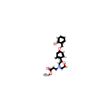 Cc1cc(OCc2ccccc2Br)ccc1C1CN(CCC(=O)OC(C)(C)C)CCO1